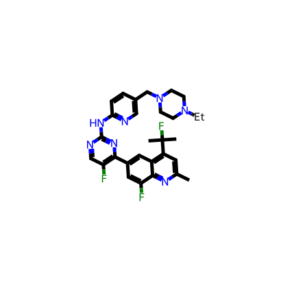 CCN1CCN(Cc2ccc(Nc3ncc(F)c(-c4cc(F)c5nc(C)cc(C(C)(C)F)c5c4)n3)nc2)CC1